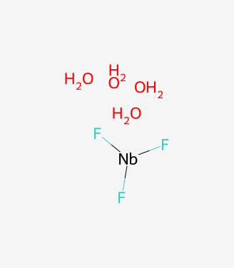 O.O.O.O.[F][Nb]([F])[F]